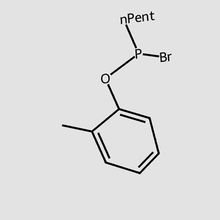 CCCCCP(Br)Oc1ccccc1C